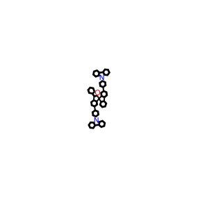 c1ccc2c(c1)-c1ccc(-c3ccc(-n4c5ccccc5c5ccccc54)cc3)cc1C21c2cc(-c3ccc(-n4c5ccccc5c5ccccc54)cc3)ccc2-c2c1oc1ccccc21